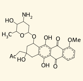 COc1cccc2c1C(=O)c1c(O)c3c(c(O)c1C2=O)CC(O)(CC(C)=O)CC3OC1CC(N)C(O)C(C)O1